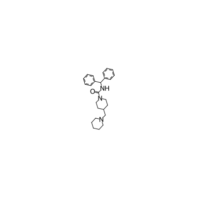 O=C(NC(c1ccccc1)c1ccccc1)N1CCC(CN2CCCCC2)CC1